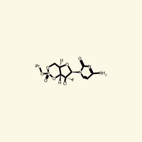 CC(C)OP1(=O)OC[C@H]2O[C@@H](n3ccc(N)nc3=O)[C@@](F)(Cl)[C@@H]2O1